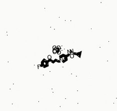 O=C(CCC[n+]1ccc(-c2nnc(C3CC3)o2)cc1)c1ccc(F)cc1.[O-][Cl+3]([O-])([O-])[O-]